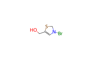 OCC1=CN(Br)CS1